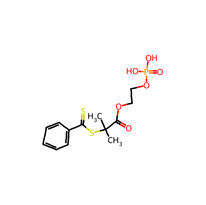 CC(C)(SC(=S)c1ccccc1)C(=O)OCCOP(=O)(O)O